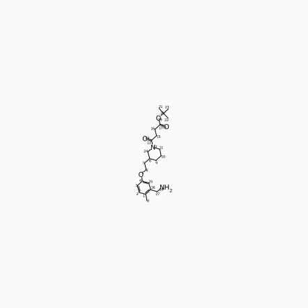 Cc1ccc(OCCC2CCCN(C(=O)CCC(=O)OC(C)(C)C)C2)cc1CN